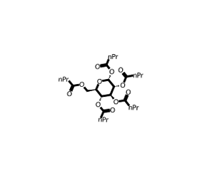 CCCC(=O)OC[C@H]1O[C@H](OC(=O)CCC)[C@H](OC(=O)CCC)[C@@H](OC(=O)CCC)[C@@H]1OC(=O)CCC